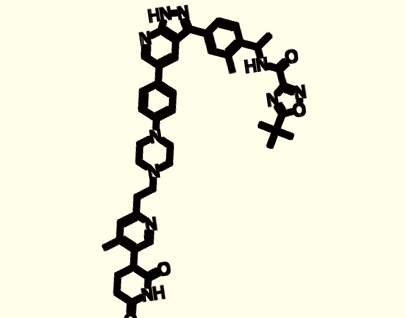 Cc1cc(-c2n[nH]c3ncc(-c4ccc(N5CCN(CCc6cc(C)c(C7CCC(=O)NC7=O)cn6)CC5)cc4)cc23)ccc1C(C)NC(=O)c1noc(C(C)(C)C)n1